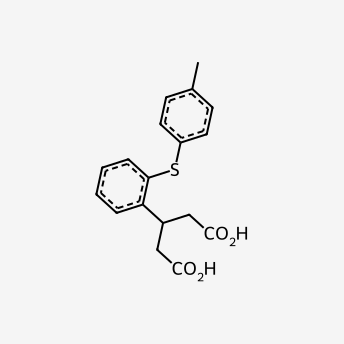 Cc1ccc(Sc2ccccc2C(CC(=O)O)CC(=O)O)cc1